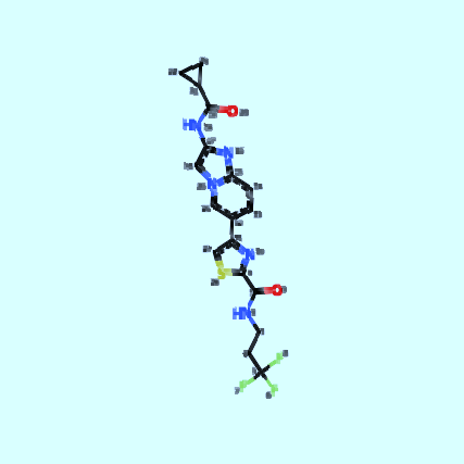 O=C(NCCC(F)(F)F)c1nc(-c2ccc3nc(NC(=O)C4CC4)cn3c2)cs1